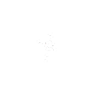 CC1CC(C)(C)c2ccc(-n3c4ccccc4c4c3ccc3c5ccccc5n(-c5nc(-c6ccc(-c7ccccc7)cc6)nc(-c6ccc(-c7ccccc7)cc6)n5)c34)cc2C1(C)C